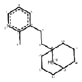 Cc1ncccc1CCC12BC(CCC1)CCC2